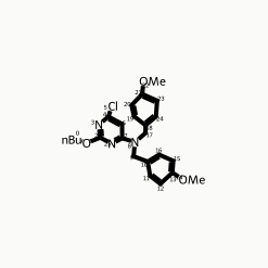 CCCCOc1nc(Cl)cc(N(Cc2ccc(OC)cc2)Cc2ccc(OC)cc2)n1